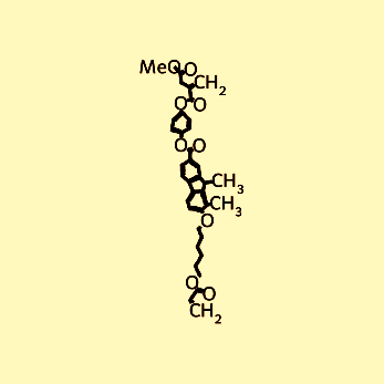 C=CC(=O)OCCCCCCOc1ccc2c(c1C)C(C)c1cc(C(=O)Oc3ccc(OC(=O)C(=C)CC(=O)OC)cc3)ccc1-2